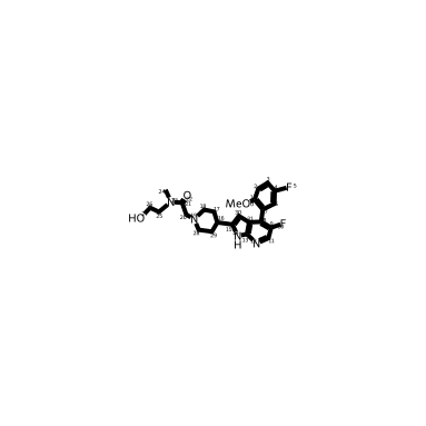 COc1ccc(F)cc1-c1c(F)cnc2[nH]c(C3CCN(CC(=O)N(C)CCO)CC3)cc12